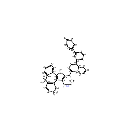 CC/C=C\c1c(Cc2ccc(-c3cccc(-c4ccccn4)n3)c3ccccc23)sc2c1C1=C(C=CNC1)C(C)(C)c1ccccc1-2